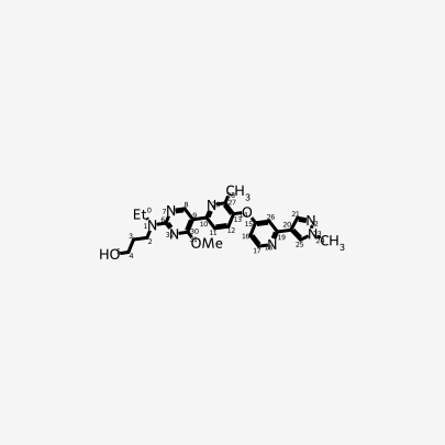 CCN(CCCO)c1ncc(-c2ccc(Oc3ccnc(-c4cnn(C)c4)c3)c(C)n2)c(OC)n1